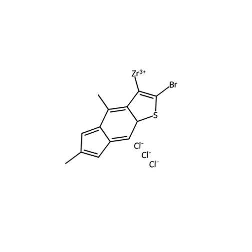 CC1=CC2=CC3SC(Br)=[C]([Zr+3])C3=C(C)C2=C1.[Cl-].[Cl-].[Cl-]